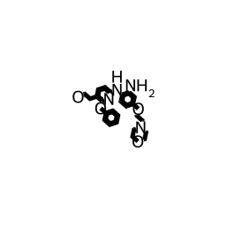 Nc1cc(OCCN2CCOCC2)ccc1Nc1ccc(CC=O)c(Oc2ccccc2)n1